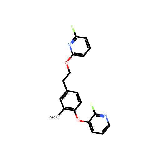 COc1cc(CCOc2cccc(F)n2)ccc1Oc1cccnc1F